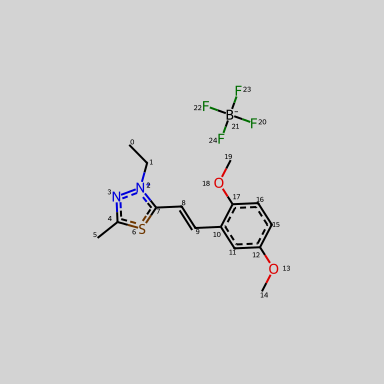 CC[n+]1nc(C)sc1/C=C/c1cc(OC)ccc1OC.F[B-](F)(F)F